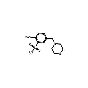 COc1ccc(CN2CCOCC2)cc1S(N)(=O)=O